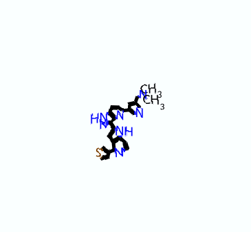 CN(C)Cc1cncc(-c2ccc3[nH]nc(-c4cc5c(-c6ccsc6)nccc5[nH]4)c3n2)c1